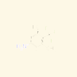 Cc1cc(N)cc(C)c1C(F)(F)F